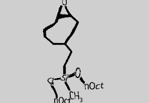 CCCCCCCCO[Si](C)(CCC1CCC2OC2C1)OCCCCCCCC